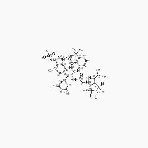 Cn1nc(NS(C)(=O)=O)c2c(Cl)ccc(-n3c(C(Cc4cc(F)cc(F)c4)NC(=O)Cn4nc(C(F)F)c5c4C(F)(F)[C@@H]4C[C@H]54)nc4cccc(C(F)(F)F)c4c3=O)c21